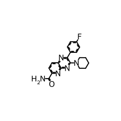 NC(=O)c1ccc2nc(-c3ccc(F)cc3)c(N3CCCCC3)nc2n1